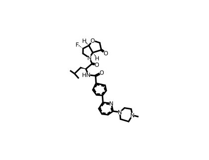 CC(C)C[C@H](NC(=O)c1ccc(-c2cccc(N3CCN(C)CC3)n2)cc1)C(=O)N1C[C@H](F)[C@H]2OCC(=O)[C@H]21